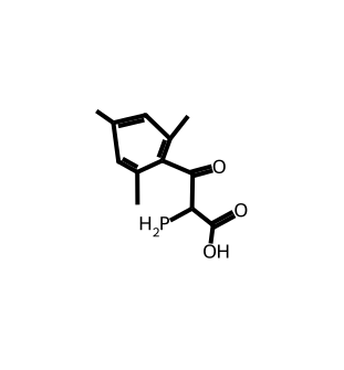 Cc1cc(C)c(C(=O)C(P)C(=O)O)c(C)c1